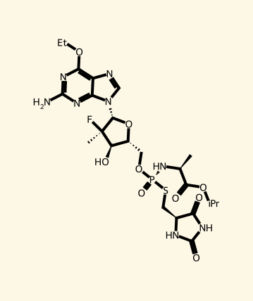 CCOc1nc(N)nc2c1ncn2[C@@H]1O[C@H](CO[P@@](=O)(N[C@@H](C)C(=O)OC(C)C)SC[C@@H]2NC(=O)NC2=O)[C@@H](O)[C@@]1(C)F